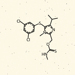 CNC(=S)OCc1nc(C(C)C)c(Sc2cc(Cl)cc(Cl)c2)n1C